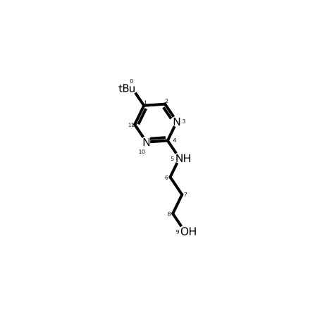 CC(C)(C)c1cnc(NCCCO)nc1